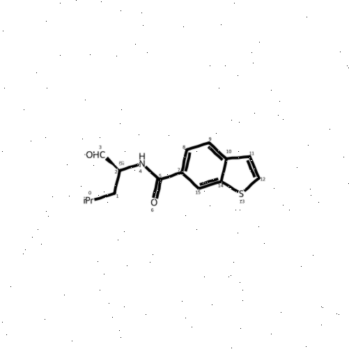 CC(C)C[C@@H]([C]=O)NC(=O)c1ccc2ccsc2c1